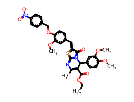 CCOC(=O)C1=C(C)N=c2s/c(=C\c3ccc(OCc4ccc([N+](=O)[O-])cc4)c(OC)c3)c(=O)n2C1c1ccc(OC)c(OC)c1